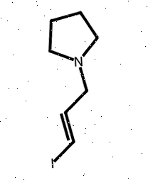 I/C=C/CN1CCCC1